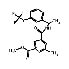 COC(=O)c1cc(C(=O)NC(C)c2cccc(OC(F)(F)F)c2)cc(C)n1